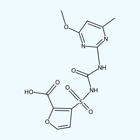 COc1cc(C)nc(NC(=O)NS(=O)(=O)c2ccoc2C(=O)O)n1